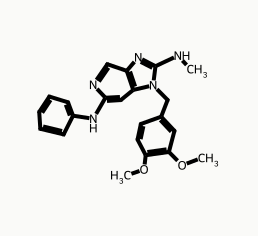 CNc1nc2cnc(Nc3ccccc3)cc2n1Cc1ccc(OC)c(OC)c1